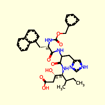 CCC(C)[C@H](NC(=O)C(Cc1c[nH]cn1)NC(=O)[C@H](Cc1cccc2ccccc12)NC(=O)OCc1ccccc1)[C@@H](O)CC(=O)O